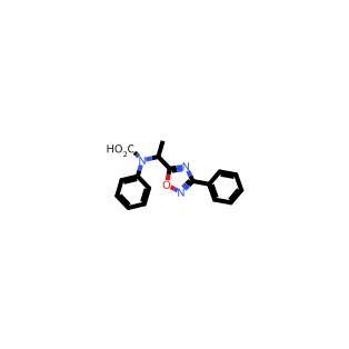 CC(c1nc(-c2ccccc2)no1)N(C(=O)O)c1ccccc1